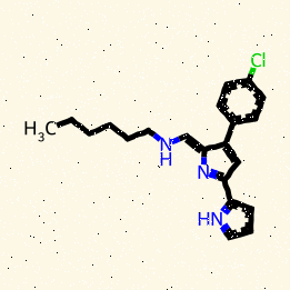 CCCCCCNC=C1N=C(c2ccc[nH]2)C=C1c1ccc(Cl)cc1